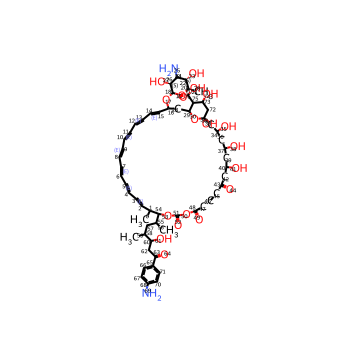 CC1/C=C/C=C/C=C/C=C/C=C/C=C/C=C/C(OC2O[C@H](C)[C@@H](O)[C@H](N)[C@@H]2O)CC2OC(O)(CC(O)CC(O)CC(O)CC(=O)CCCC(=O)OC(=O)OC1C(C)CC(C)C(O)CC(=O)c1ccc(N)cc1)CC(O)C2C(=O)O